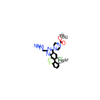 COc1cccc(F)c1-c1c(Cl)cc2c(N3CCN(C(=O)OC(C)(C)C)CC3)nc(CN=[N+]=[N-])nc2c1F